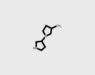 CC1CCN(C2CCNC2)C1